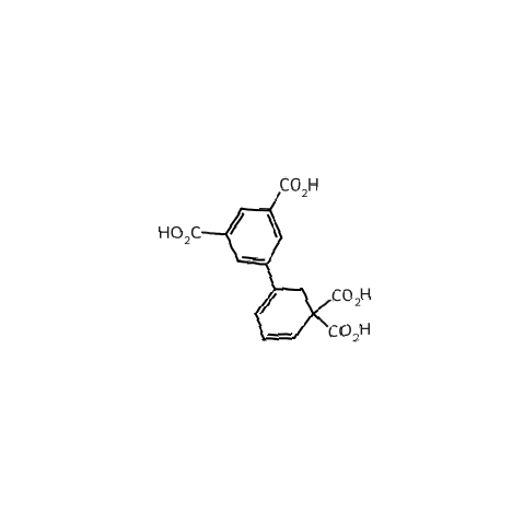 O=C(O)c1cc(C(=O)O)cc(C2=CC=CC(C(=O)O)(C(=O)O)C2)c1